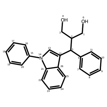 OCC(CO)C(c1ccccc1)c1cn(-c2ccccc2)c2ccccc12